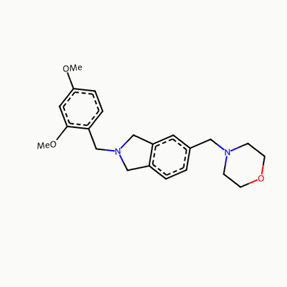 COc1ccc(CN2Cc3ccc(CN4CCOCC4)cc3C2)c(OC)c1